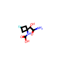 NC(=O)C(O)C1(NC(=O)O)CC(F)C1